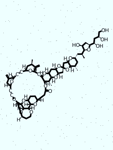 C=C1C[C@@H]2CCO[C@H]3[C@@H]4O[C@H]5CC[C@H](CC(=O)O[C@@H]6[C@@H](C)[C@@H]7O[C@@H]8C[C@]9(C[C@@H]%10O[C@H](C[C@H](C)[C@@H]%11O[C@H]([C@@H](O)C[C@@H](O)CO)C[C@@H]%11O)C[C@H](C)[C@@H]%10O9)O[C@@H]8C[C@@H]7O[C@H]6C[C@H]6O[C@@H](CC[C@@H]1O2)C[C@@H](C)C6=C)O[C@@H]5[C@@H]1OCC[C@@H]3O[C@@H]14